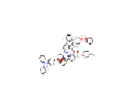 C=Cc1ccc(Oc2ccc(C3(c4ccc(Oc5ccccc5)cc4)c4ccccc4-c4ccc(N(c5ccc(-c6ccc7c(c6)c6ccccc6n7-c6ccccc6)cc5)c5ccccc5-c5ccccc5)cc43)cc2)cc1